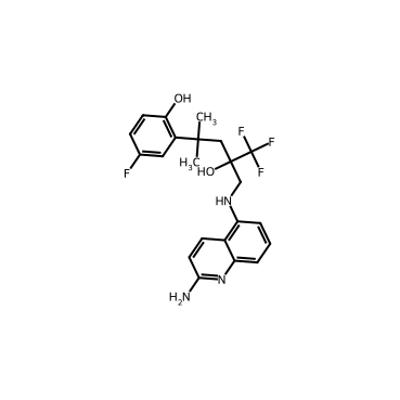 CC(C)(CC(O)(CNc1cccc2nc(N)ccc12)C(F)(F)F)c1cc(F)ccc1O